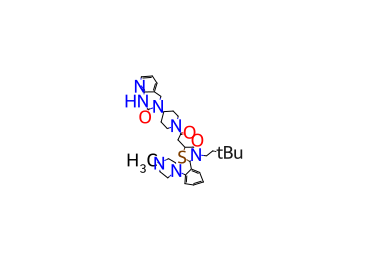 CN1CCN(c2ccccc2C2SC(CC(=O)N3CCC(N4Cc5cccnc5NC4=O)CC3)C(=O)N2CCC(C)(C)C)CC1